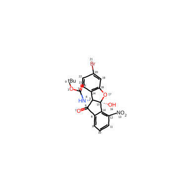 CC(C)(C)OC(=O)N[C@@]12C(=O)c3cccc([N+](=O)[O-])c3[C@]1(O)Oc1cc(Br)ccc12